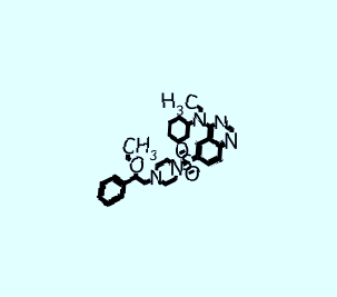 CCOC(CN1CCN(S(=O)(=O)c2ccc3ncnc(N(CC)C4CCCCC4)c3c2)CC1)c1ccccc1